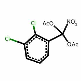 CC(=O)OC(OC(C)=O)(c1cccc(Cl)c1Cl)[N+](=O)[O-]